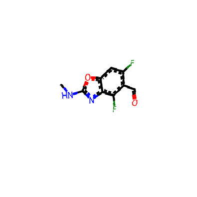 CNc1nc2c(F)c(C=O)c(F)cc2o1